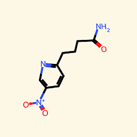 NC(=O)CCCc1ccc([N+](=O)[O-])cn1